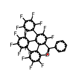 O=C(c1ccccc1)c1c(F)c(F)c(-c2c(F)c(F)c(F)c(F)c2F)c(-c2c(F)c(F)c(F)c(F)c2F)c1-c1c(F)c(F)c(F)c(F)c1F